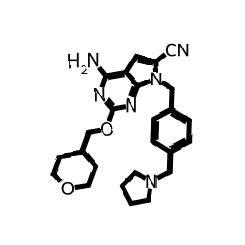 N#Cc1cc2c(N)nc(OCC3CCOCC3)nc2n1Cc1ccc(CN2CCCC2)cc1